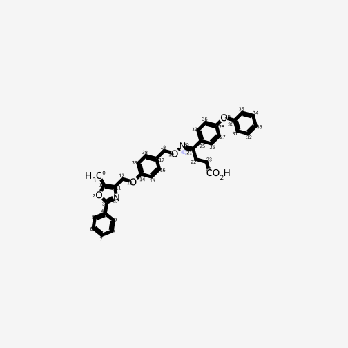 Cc1oc(-c2ccccc2)nc1COc1ccc(CO/N=C(\CCC(=O)O)c2ccc(Oc3ccccc3)cc2)cc1